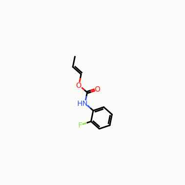 CC=COC(=O)Nc1ccccc1F